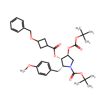 COc1ccc(C[C@@H]2[C@H](OC(=O)C3CC(OCc4ccccc4)C3)[C@@H](OC(=O)OC(C)(C)C)CN2C(=O)OC(C)(C)C)cc1